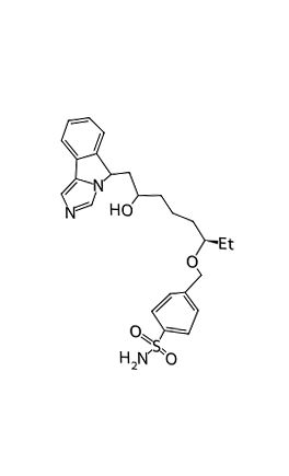 CC[C@H](CCCC(O)CC1c2ccccc2-c2cncn21)OCc1ccc(S(N)(=O)=O)cc1